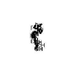 COc1ncc(F)cc1[C@H]1CCCN1c1ccn2ncc(OC(=O)NCC(O)CO)c2n1